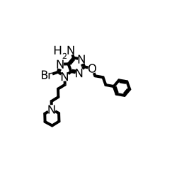 Nc1nc(OCCCc2ccccc2)nc2c1nc(Br)n2CCCCN1CCCCC1